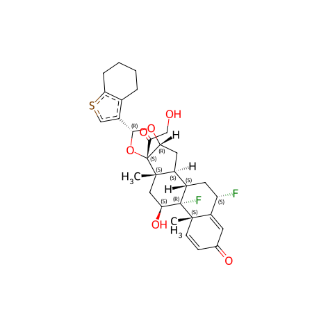 C[C@]12C=CC(=O)C=C1[C@@H](F)C[C@H]1[C@@H]3C[C@H]4O[C@@H](c5csc6c5CCCC6)O[C@@]4(C(=O)CO)[C@@]3(C)C[C@H](O)[C@@]12F